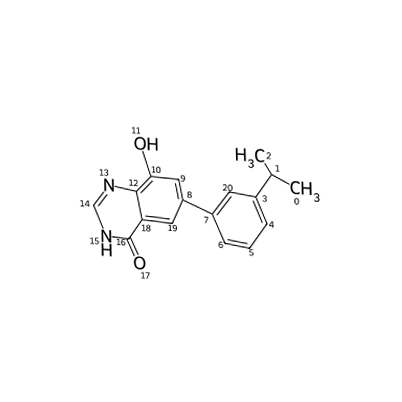 CC(C)c1cccc(-c2cc(O)c3nc[nH]c(=O)c3c2)c1